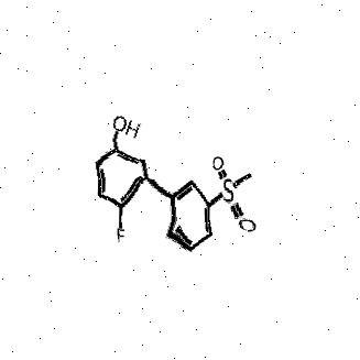 CS(=O)(=O)c1cccc(-c2cc(O)ccc2F)c1